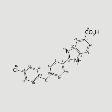 O=C(O)c1ccc2[nH]c(-c3ccc(Cc4ccc(Cl)cc4)cc3)nc2c1